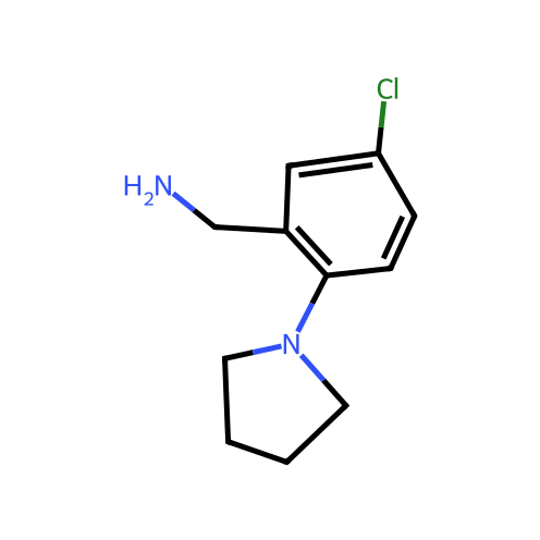 NCc1cc(Cl)ccc1N1CCCC1